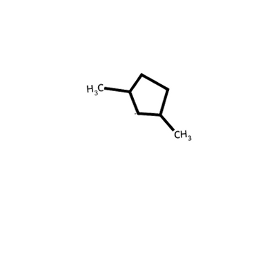 CC1[CH]C(C)CC1